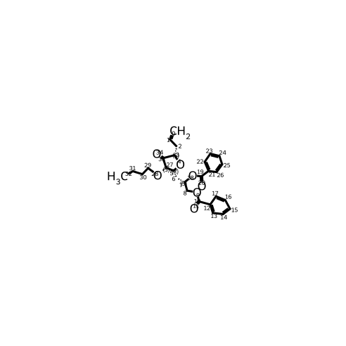 C=CC[C@@H]1O[C@H](C[C@@H](COC(=O)c2ccccc2)OC(=O)c2ccccc2)[C@H](OCCCC)C1=O